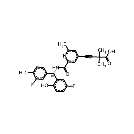 Cc1cc(C#CC(C)(C)C(=O)O)cc(C(=O)N[C@@H](c2ccc(C)c(F)c2)c2cc(F)ccc2O)n1